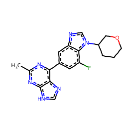 Cc1nc(-c2cc(F)c3c(c2)ncn3C2CCCOC2)c2nc[nH]c2n1